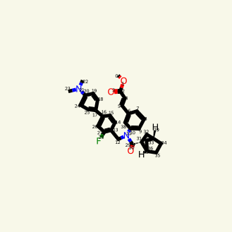 COC(=O)/C=C/c1cccc(N(Cc2ccc(-c3ccc(N(C)C)cc3)cc2F)C(=O)[C@@H]2C[C@@H]3CC[C@H]2C3)c1